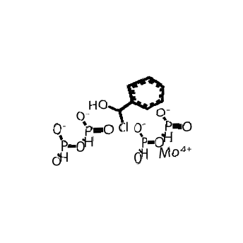 O=[PH]([O-])O[PH](=O)[O-].O=[PH]([O-])O[PH](=O)[O-].OC(Cl)c1ccccc1.[Mo+4]